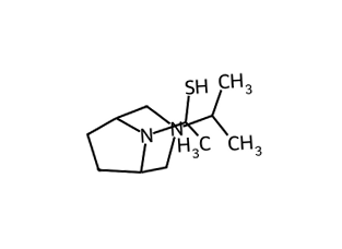 CC(C)N1CC2CCC(C1)N2C(C)S